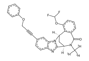 [2H]C([2H])([2H])N1C(=O)c2cccc(OC(F)F)c2[C@H]2C[C@@H]1c1nc3ccc(C#CCOc4ccccc4)cc3n12